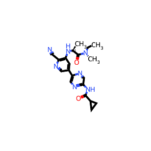 CCN(C)C(=O)[C@H](C)Nc1cc(-c2cnc(NC(=O)C3CC3)cn2)cnc1C#N